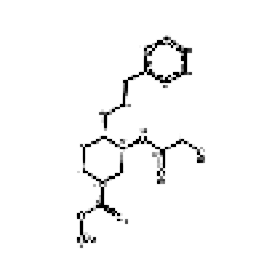 CCCCOC(=O)N1CC[C@@H](CCCc2ccccc2)[C@@H](OC(=O)CCl)C1